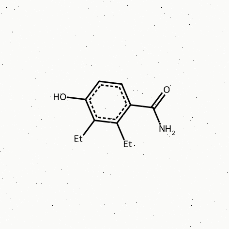 CCc1c(O)ccc(C(N)=O)c1CC